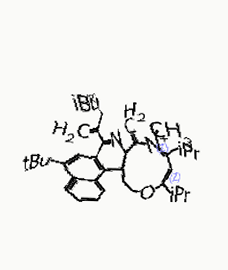 C=C(C[C@H](C)CC)C1=NC2C(=C)/[N+](C)=C(C(C)C)\C=C(\C(C)C)OCCC2c2c1cc(C(C)(C)C)c1ccccc21